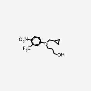 O=[N+]([O-])c1ccc(N(CCCO)CC2CC2)cc1C(F)(F)F